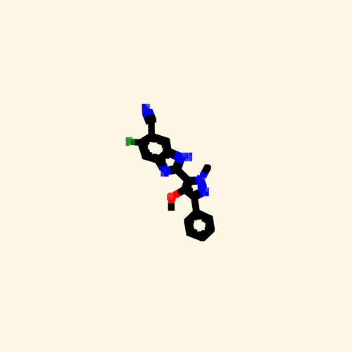 COc1c(-c2ccccc2)nn(C)c1-c1nc2cc(F)c(C#N)cc2[nH]1